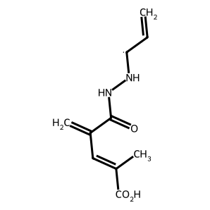 C=C[CH]NNC(=O)C(=C)C=C(C)C(=O)O